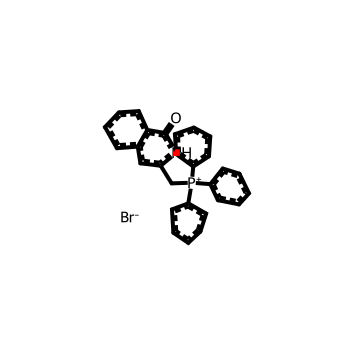 O=c1[nH]c(C[P+](c2ccccc2)(c2ccccc2)c2ccccc2)cc2ccccc12.[Br-]